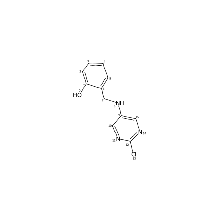 Oc1ccccc1CNc1cnc(Cl)nc1